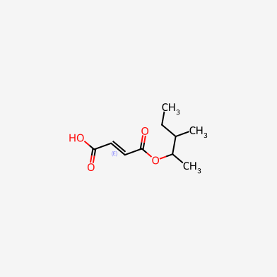 CCC(C)C(C)OC(=O)/C=C/C(=O)O